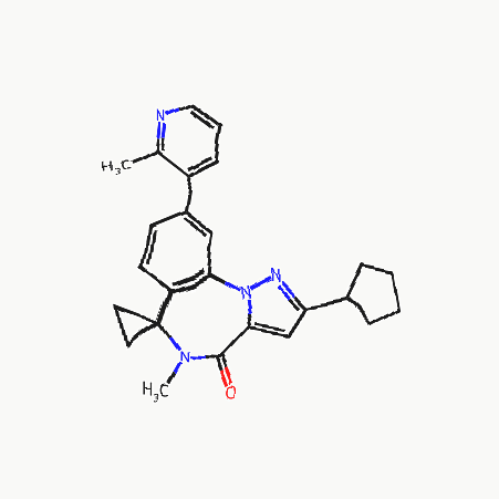 Cc1ncccc1-c1ccc2c(c1)-n1nc(C3CCCC3)cc1C(=O)N(C)C21CC1